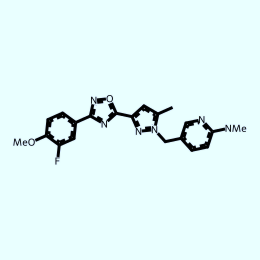 CNc1ccc(Cn2nc(-c3nc(-c4ccc(OC)c(F)c4)no3)cc2C)cn1